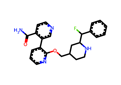 NC(=O)c1ccncc1-c1cccnc1OCC1CCNC(C(F)c2ccccc2)C1